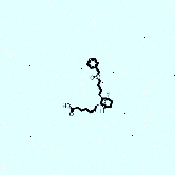 O=C(O)CCC/C=C\C[C@@H]1[C@@H](CCCC[S+]([O-])Cc2ccccc2)[C@@H]2CC[C@H]1O2